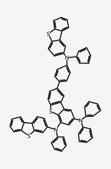 c1ccc(N(c2ccc(-c3ccc4sc5c(N(c6ccccc6)c6ccc7c(c6)sc6ccccc67)cc(N(c6ccccc6)c6ccccc6)cc5c4c3)cc2)c2ccc3sc4ccccc4c3c2)cc1